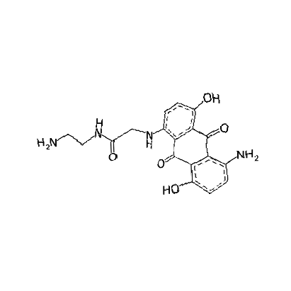 NCCNC(=O)CNc1ccc(O)c2c1C(=O)c1c(O)ccc(N)c1C2=O